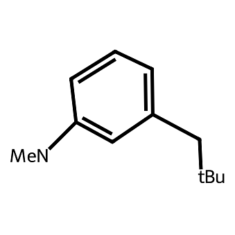 CNc1cccc(CC(C)(C)C)c1